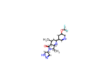 CC1CC(C2C=NCC(OC(F)F)C2)N=C2C1C(=O)N(C1C=NNC1)C2C